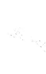 CN([C@H]1COC2(CCN(C(=O)O[C@H](CO)C(F)(F)F)CC2)C1)S(=O)(=O)CC(F)(F)F